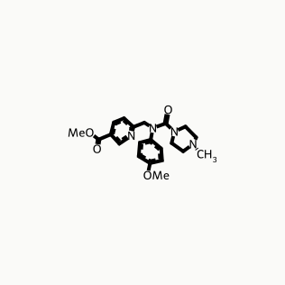 COC(=O)c1ccc(CN(C(=O)N2CCN(C)CC2)c2ccc(OC)cc2)nc1